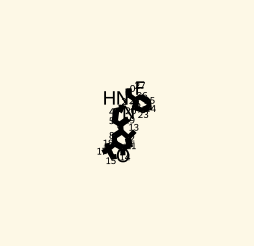 C=C(Nc1ccc(-c2cc3c(cc2C)OCC3(C)C)cn1)c1ccccc1F